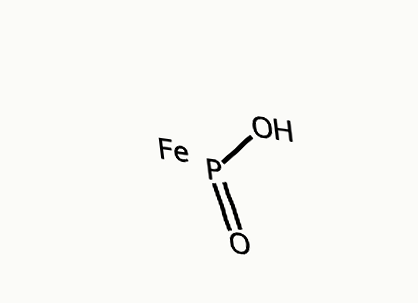 O=PO.[Fe]